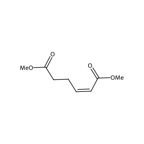 COC(=O)/C=C\CCC(=O)OC